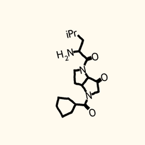 CC(C)CC(N)C(=O)N1CCC2C1C(=O)CN2C(=O)C1CCCCC1